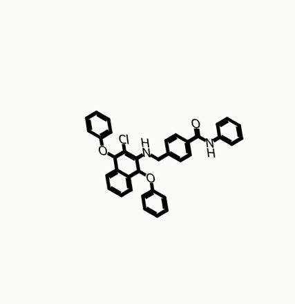 O=C(Nc1ccccc1)c1ccc(CNC2=C(Cl)C(Oc3ccccc3)c3ccccc3C2Oc2ccccc2)cc1